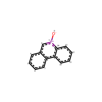 [O-][p+]1cc2ccccc2c2ccccc21